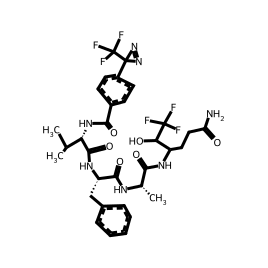 CC(C)[C@H](NC(=O)c1ccc(C2(C(F)(F)F)N=N2)cc1)C(=O)N[C@@H](Cc1ccccc1)C(=O)N[C@@H](C)C(=O)NC(CCC(N)=O)C(O)C(F)(F)F